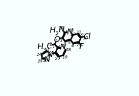 CC(Oc1cc2cc(F)c(Cl)cc2nc1N)c1ncccc1-n1cccn1